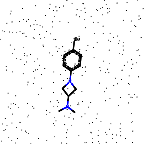 CN(C)C1CN(c2ccc(C(C)(C)C)cc2)C1